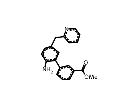 COC(=O)c1cccc(-c2cc(Cc3ccccn3)ccc2N)c1